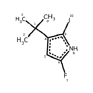 CC(C)(C)c1cc(F)[nH]c1I